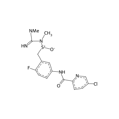 CNC(=N)N(C)[S+]([O-])Cc1cc(NC(=O)c2ccc(Cl)cn2)ccc1F